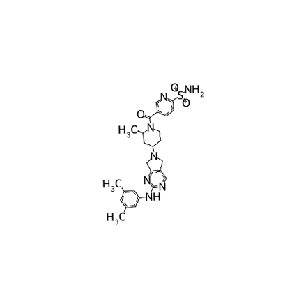 Cc1cc(C)cc(Nc2ncc3c(n2)CN([C@@H]2CCN(C(=O)c4ccc(S(N)(=O)=O)nc4)[C@H](C)C2)C3)c1